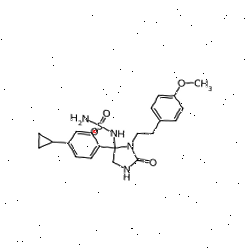 COc1ccc(CCN2C(=O)NCC2(NS(N)(=O)=O)c2ccc(C3CC3)cc2)cc1